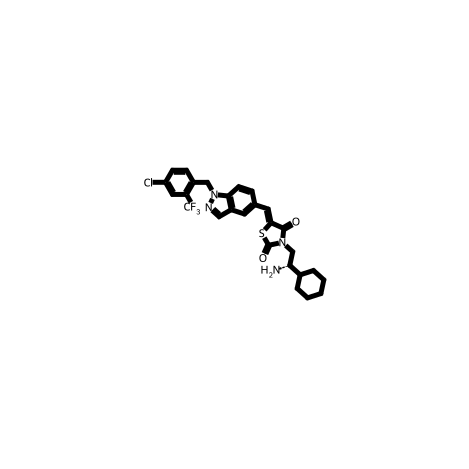 N[C@H](CN1C(=O)SC(=Cc2ccc3c(cnn3Cc3ccc(Cl)cc3C(F)(F)F)c2)C1=O)C1CCCCC1